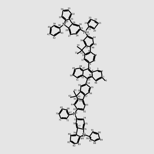 Cc1ccc2c(-c3ccc4c(c3)C(C)(C)c3cc(N(c5ccccc5)c5ccc6c(c5)c5ccccc5n6-c5ccccc5)ccc3-4)c3ccccc3c(-c3ccc4c(c3)C(C)(C)c3cc(N(c5ccccc5)c5ccc6c(c5)c5ccccc5n6-c5ccccc5)ccc3-4)c2c1